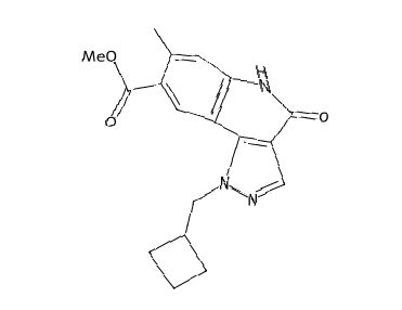 COC(=O)c1cc2c(cc1C)[nH]c(=O)c1cnn(CC3CCC3)c12